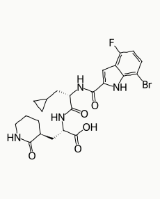 O=C(N[C@@H](CC1CC1)C(=O)N[C@@H](C[C@@H]1CCCNC1=O)C(=O)O)c1cc2c(F)ccc(Br)c2[nH]1